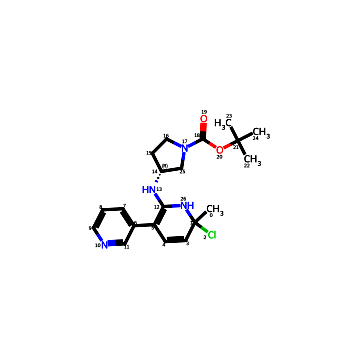 CC1(Cl)C=CC(c2cccnc2)=C(N[C@@H]2CCN(C(=O)OC(C)(C)C)C2)N1